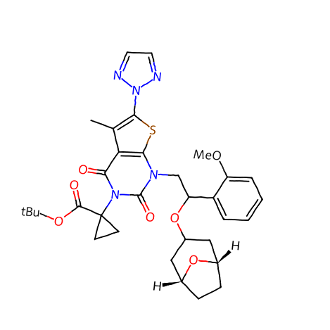 COc1ccccc1C(Cn1c(=O)n(C2(C(=O)OC(C)(C)C)CC2)c(=O)c2c(C)c(-n3nccn3)sc21)OC1C[C@H]2CC[C@@H](C1)O2